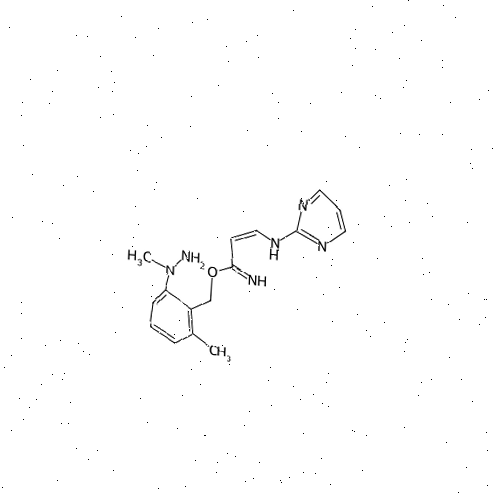 Cc1cccc(N(C)N)c1COC(=N)/C=C\Nc1ncccn1